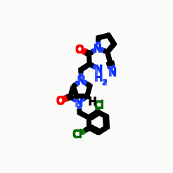 N#CC1CCCN1C(=O)C(N)CN1C[C@@H]2CC1C(=O)N2Cc1c(Cl)cccc1Cl